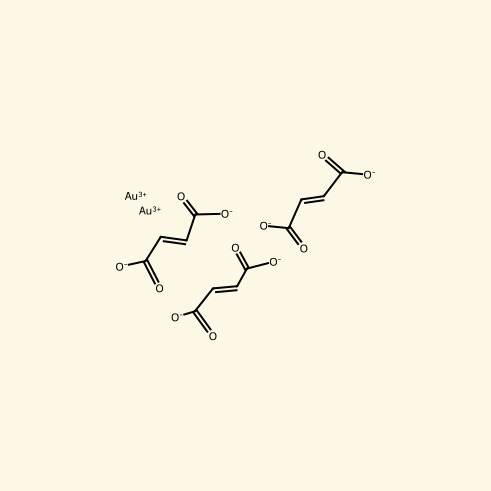 O=C([O-])/C=C/C(=O)[O-].O=C([O-])/C=C/C(=O)[O-].O=C([O-])/C=C/C(=O)[O-].[Au+3].[Au+3]